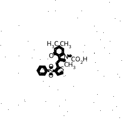 Cc1c(Cc2sccc2S(=O)(=O)c2ccccc2)c2c(n1CC(=O)O)CC(C)(C)CC2=O